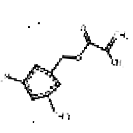 C=C(C)C(=O)OCc1cc(C=O)cc([N+](=O)[O-])c1